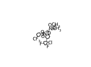 CC(C)(F)C(=O)NC[C@H]1CN(S(=O)(=O)c2cccc(C(F)(F)F)c2)c2cc(-c3cc(F)cc(F)c3Cl)ccc2O1